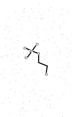 ClCC[O][Zr]([Cl])([Cl])[Cl]